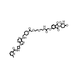 Cc1cccc(C(=O)NC2CC(n3cnc4c(NCC5CCN(C(=O)COCCOCCNC(=O)COc6ccc7c(c6)C(=O)N([C@H]6CCC(=O)NC6=O)C7=O)CC5)ncnc43)C2)n1